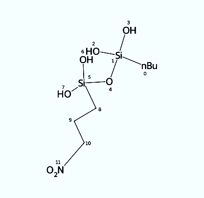 CCCC[Si](O)(O)O[Si](O)(O)CCC[N+](=O)[O-]